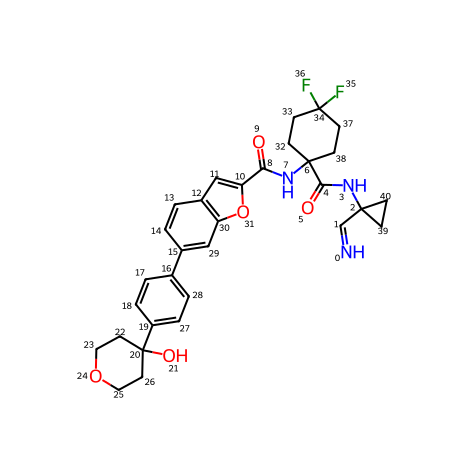 N=CC1(NC(=O)C2(NC(=O)c3cc4ccc(-c5ccc(C6(O)CCOCC6)cc5)cc4o3)CCC(F)(F)CC2)CC1